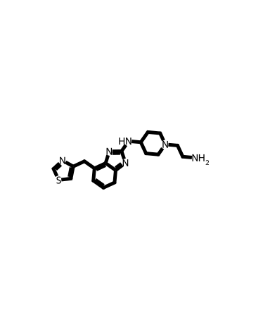 NCCN1CCC(NC2=NC3=C(Cc4cscn4)C=CCC3=N2)CC1